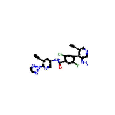 C#Cc1cc(NC(=O)c2cc(F)c(-c3c(N)cncc3C#C)cc2Cl)cnc1-n1nccn1